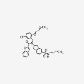 CCCCNS(=O)(=O)c1ccc2c(c1)CC(N(Cc1cc(Cl)ccc1OCCOC)C(=O)c1cc3ccccc3o1)C2